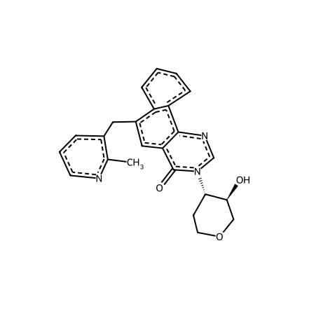 Cc1ncccc1Cc1cc2c(=O)n([C@H]3CCOC[C@@H]3O)cnc2c2ccccc12